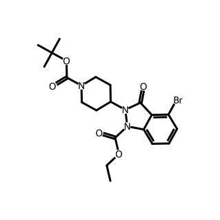 CCOC(=O)n1c2cccc(Br)c2c(=O)n1C1CCN(C(=O)OC(C)(C)C)CC1